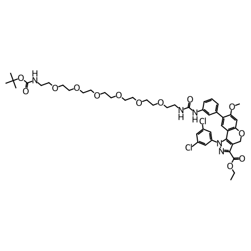 CCOC(=O)c1nn(-c2cc(Cl)cc(Cl)c2)c2c1COc1cc(OC)c(-c3cccc(NC(=O)NCCOCCOCCOCCOCCOCCOCCNC(=O)OC(C)(C)C)c3)cc1-2